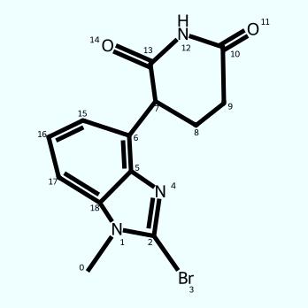 Cn1c(Br)nc2c(C3CCC(=O)NC3=O)cccc21